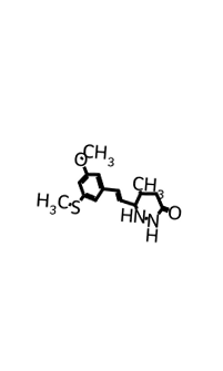 COc1cc(/C=C/C2NNC(=O)CC2C)cc(SC)c1